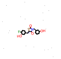 O=C1S/C(=C\c2ccc(F)c(O)c2)C(=O)N1Cc1cccc(O)c1